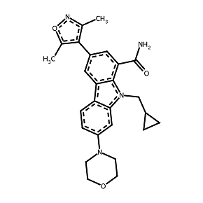 Cc1noc(C)c1-c1cc(C(N)=O)c2c(c1)c1ccc(N3CCOCC3)cc1n2CC1CC1